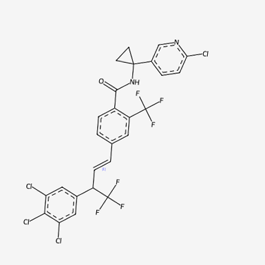 O=C(NC1(c2ccc(Cl)nc2)CC1)c1ccc(/C=C/C(c2cc(Cl)c(Cl)c(Cl)c2)C(F)(F)F)cc1C(F)(F)F